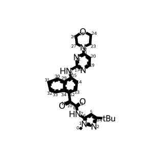 Cn1nc(C(C)(C)C)cc1NC(=O)C(=O)c1ccc(Nc2nccc(N3CCOCC3)n2)c2ccccc12